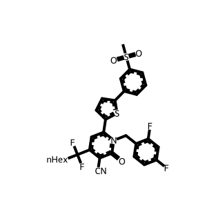 CCCCCCC(F)(F)c1cc(-c2ccc(-c3cccc(S(C)(=O)=O)c3)s2)n(Cc2ccc(F)cc2F)c(=O)c1C#N